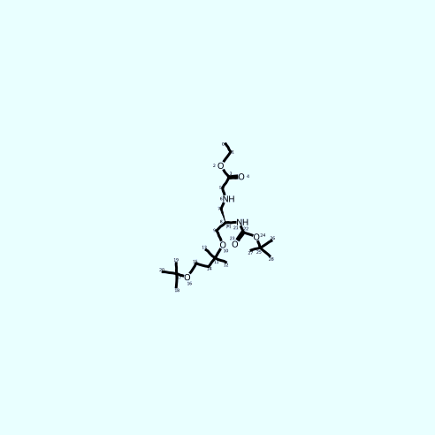 CCOC(=O)CNC[C@H](COC(C)(C)CCOC(C)(C)C)NC(=O)OC(C)(C)C